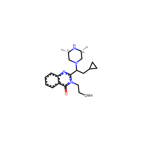 COCCn1c(C(CC2CC2)N2C[C@@H](C)N[C@@H](C)C2)nc2ccccc2c1=O